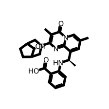 Cc1cc([C@@H](C)Nc2ccccc2C(=O)O)c2nc(N3CC4CCC(C3)C4O)c(C)c(=O)n2c1